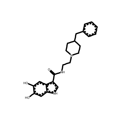 O=C(NCCN1CCC(Cc2ccccc2)CC1)c1c[nH]c2cc(O)c(O)cc12